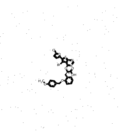 COc1ccc(COc2ccccc2C[C@@H](Oc2ncnc3sc(-c4ccc(Cl)o4)c(Br)c23)C(=O)O)cc1